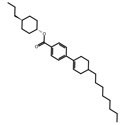 CCCCCCCCC1CC=C(c2ccc(C(=O)O[C@H]3CC[C@H](CCC)CC3)cc2)CC1